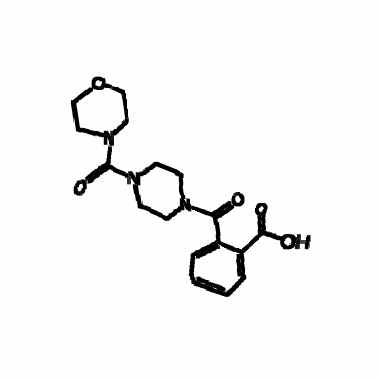 O=C(O)c1ccccc1C(=O)N1CCN(C(=O)N2CCOCC2)CC1